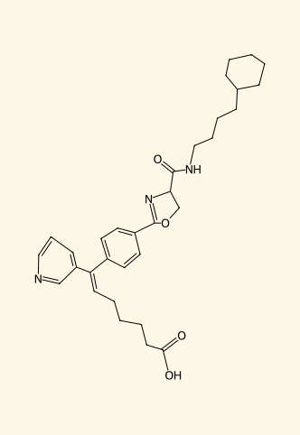 O=C(O)CCCC/C=C(\c1ccc(C2=NC(C(=O)NCCCCC3CCCCC3)CO2)cc1)c1cccnc1